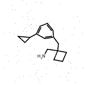 NCC1(Cc2cccc(C3CC3)c2)CCC1